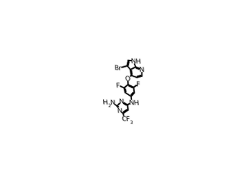 Nc1nc(Nc2cc(F)c(Oc3ccnc4[nH]cc(Br)c34)c(F)c2)cc(C(F)(F)F)n1